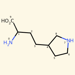 NC(CCC1CCNC1)C(=O)O